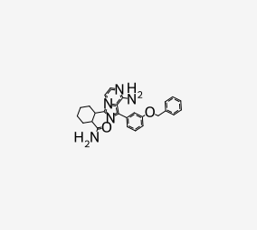 NC(=O)C1CCCCC1c1nc(-c2cccc(OCc3ccccc3)c2)c2c(N)nccn12